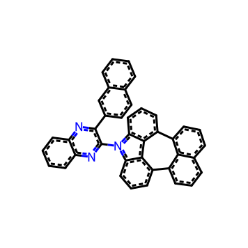 c1ccc2cc(-c3nc4ccccc4nc3-n3c4cccc5c4c4c(cccc43)-c3cccc4cccc-5c34)ccc2c1